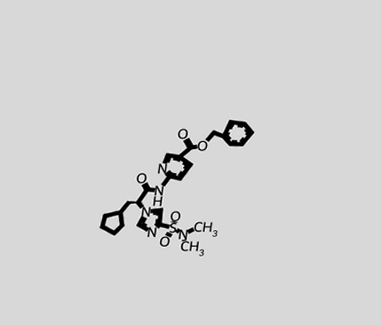 CN(C)S(=O)(=O)c1cn([C@@H](CC2CCCC2)C(=O)Nc2ccc(C(=O)OCc3ccccc3)cn2)cn1